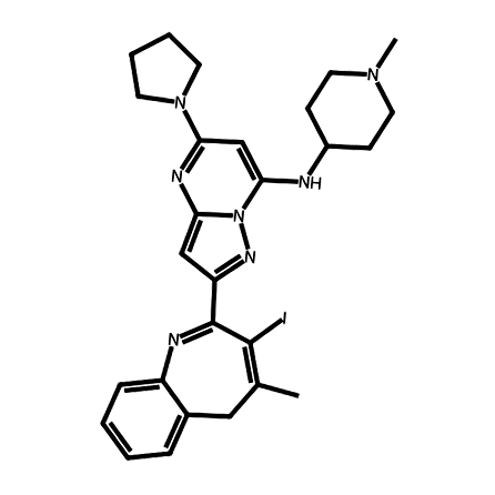 CC1=C(I)C(c2cc3nc(N4CCCC4)cc(NC4CCN(C)CC4)n3n2)=Nc2ccccc2C1